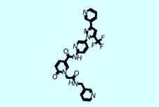 O=C(Cn1cc(C(=O)Nc2ccc(-n3nc(-c4cccnc4)cc3C(F)(F)F)cn2)ccc1=O)NCc1cccnc1